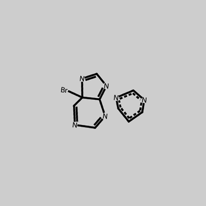 BrC12C=NC=NC1=NC=N2.c1cncnc1